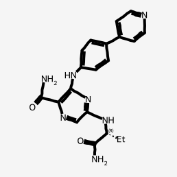 CC[C@@H](Nc1cnc(C(N)=O)c(Nc2ccc(-c3ccncc3)cc2)n1)C(N)=O